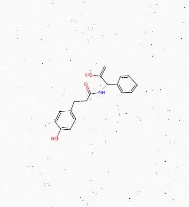 C=C(O)[C@@H](NC(=O)CCc1ccc(O)cc1)c1ccccc1